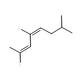 C/C(F)=C\C(F)=C/CC(C)C